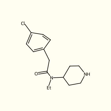 CCN(C(=O)Cc1ccc(Cl)cc1)C1CCNCC1